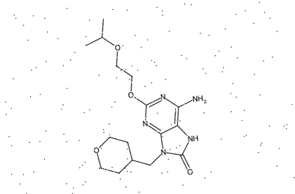 CC(C)OCCOc1nc(N)c2[nH]c(=O)n(CC3CCOCC3)c2n1